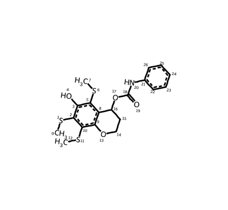 CSc1c(O)c(SC)c2c(c1SC)OCCC2OC(=O)Nc1ccccc1